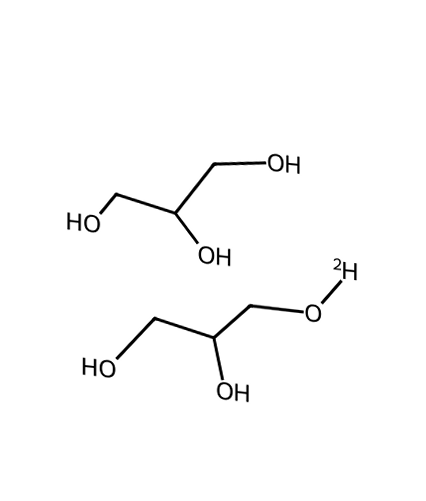 OCC(O)CO.[2H]OCC(O)CO